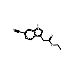 CCOC(=O)Cc1c[nH]c2cc(C#N)ccc12